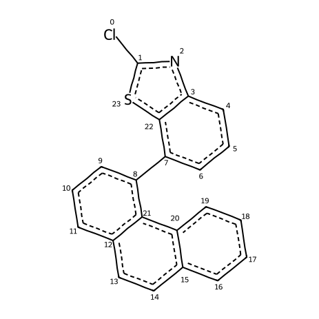 Clc1nc2cccc(-c3cccc4ccc5ccccc5c34)c2s1